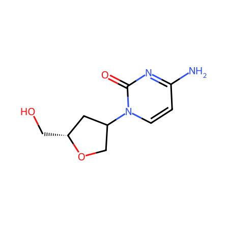 Nc1ccn(C2CO[C@H](CO)C2)c(=O)n1